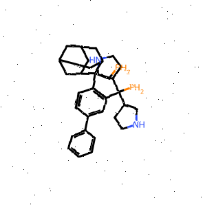 PCC1(c2ccc(-c3ccccc3)cc2C(P)(C2CCNC2)C2CCNC2)C2CC3CC(C2)CC1C3